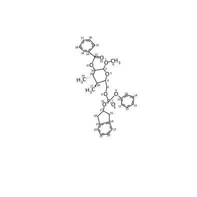 COC1OC(COP(=O)(Oc2ccccc2)OC2Cc3ccccc3C2)[C@@H](C)[C@H](C)C1OC(=O)c1ccccc1